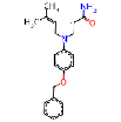 CC(C)=CCN(C[CH]C(N)=O)c1ccc(OCc2ccccc2)cc1